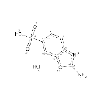 Cl.Nc1nc2ccc(S(=O)(=O)O)cc2o1